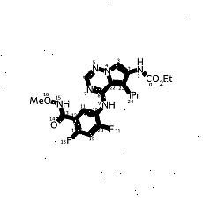 CCOC(=O)Nc1cn2ncnc(Nc3cc(C(=O)NOC)c(F)cc3F)c2c1C(C)C